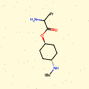 CC(C)C(N)C(=O)O[C@H]1CC[C@H](NC(C)(C)C)CC1